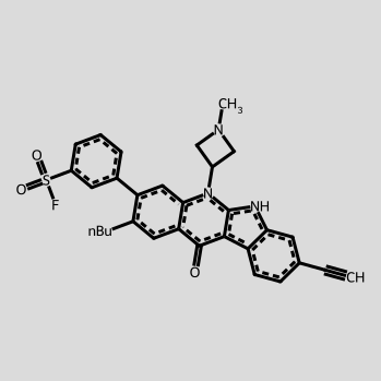 C#Cc1ccc2c(c1)[nH]c1c2c(=O)c2cc(CCCC)c(-c3cccc(S(=O)(=O)F)c3)cc2n1C1CN(C)C1